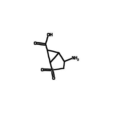 NC1CS(=O)(=O)C2C(C(=O)O)C12